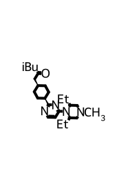 CCC(C)C(=O)C[C@H]1CC[C@@H](c2nccc(N3C(CC)CN(C)CC3CC)n2)CC1